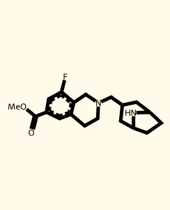 COC(=O)c1cc(F)c2c(c1)CCN(CC1CC3CCC(C1)N3)C2